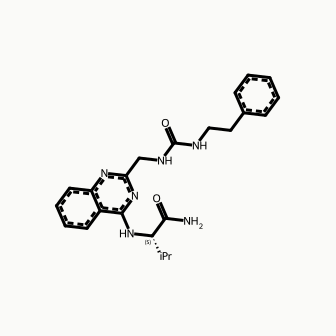 CC(C)[C@H](Nc1nc(CNC(=O)NCCc2ccccc2)nc2ccccc12)C(N)=O